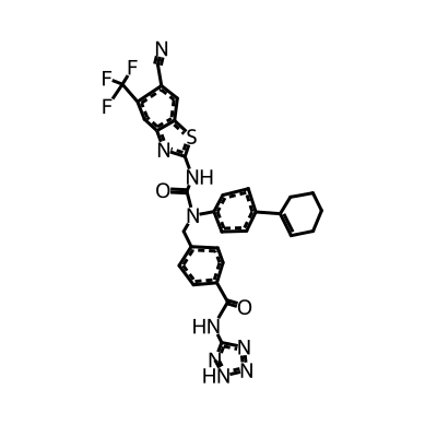 N#Cc1cc2sc(NC(=O)N(Cc3ccc(C(=O)Nc4nn[nH]n4)cc3)c3ccc(C4=CCCCC4)cc3)nc2cc1C(F)(F)F